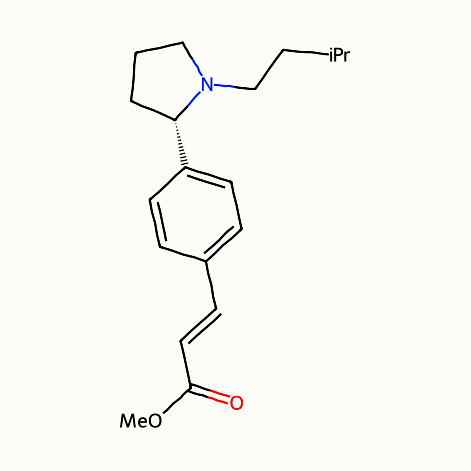 COC(=O)C=Cc1ccc([C@@H]2CCCN2CCC(C)C)cc1